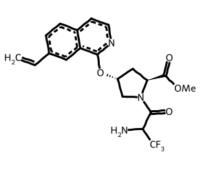 C=Cc1ccc2ccnc(O[C@@H]3C[C@@H](C(=O)OC)N(C(=O)C(N)C(F)(F)F)C3)c2c1